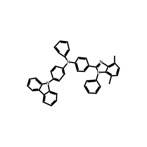 Cc1ccc(C)c2c1nc(-c1ccc(N(c3ccccc3)c3ccc(-n4c5ccccc5c5ccccc54)cc3)cc1)n2-c1ccccc1